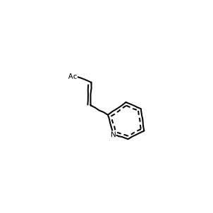 CC(=O)C=Cc1ccccn1